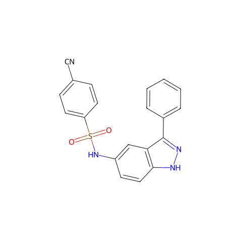 N#Cc1ccc(S(=O)(=O)Nc2ccc3[nH]nc(-c4ccccc4)c3c2)cc1